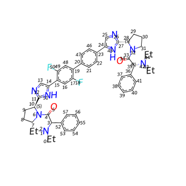 CCN(CC)C(C(=O)N1CCC[C@H]1c1ncc(-c2cc(F)c(-c3ccc(-c4cnc([C@@H]5CCCN5C(=O)[C@@H](c5ccccc5)N(CC)CC)[nH]4)cc3)cc2F)[nH]1)c1ccccc1